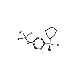 CC(C)[Si](Oc1ccc(C(Br)(C=O)C2CCCCC2)cc1)(C(C)C)C(C)C